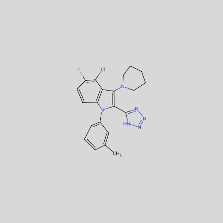 Cc1cccc(-n2c(-c3nnn[nH]3)c(N3CCCCC3)c3c(Cl)c(F)ccc32)c1